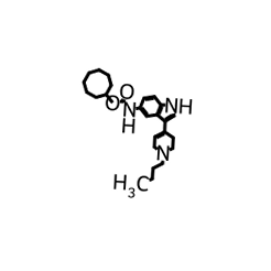 CCCCN1CC=C(c2c[nH]c3ccc(NC(=O)OC4CCCCCCC4)cc23)CC1